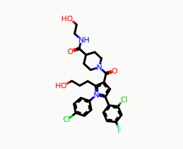 O=C(NCCO)C1CCN(C(=O)c2cc(-c3ccc(F)cc3Cl)n(-c3ccc(Cl)cc3)c2CCCO)CC1